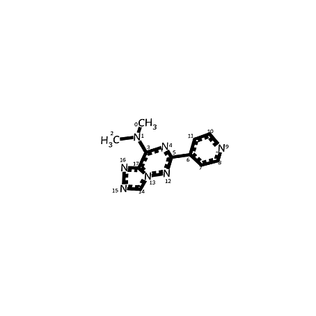 CN(C)c1nc(-c2ccncc2)nn2cnnc12